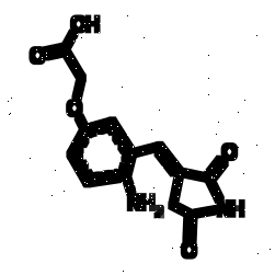 Nc1ccc(OCC(=O)O)cc1C=C1CC(=O)NC1=O